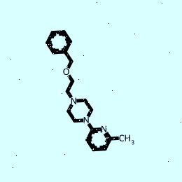 Cc1cccc(N2CCN(CCOCc3ccccc3)CC2)n1